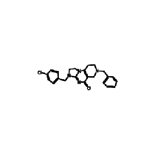 O=c1nc2n(c3c1CN(Cc1ccccc1)CC3)CCN2Cc1ccc(Cl)cc1